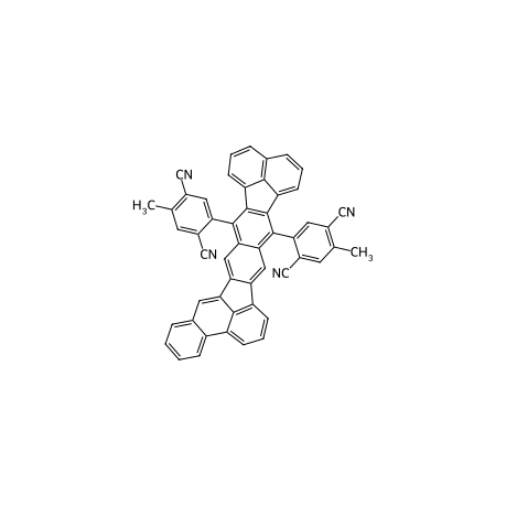 Cc1cc(C#N)c(-c2c3cc4c(cc3c(-c3cc(C#N)c(C)cc3C#N)c3c5cccc6cccc(c23)c65)c2cc3ccccc3c3cccc4c32)cc1C#N